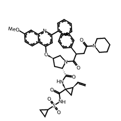 C=C[C@H]1C[C@]1(NC(=O)[C@@H]1C[C@@H](Oc2cc(-c3ccccc3)nc3cc(OC)ccc23)CN1C(=O)C(CC(=O)N1CCCCC1)c1ccccc1)C(=O)NS(=O)(=O)C1CC1